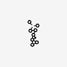 CC1(C)c2cc(-c3ccccc3-c3ccccc3-c3nc(-c4ccccc4)nc(-c4ccccc4)n3)ccc2-c2ccc3c4ccccc4c4ccccc4c3c21